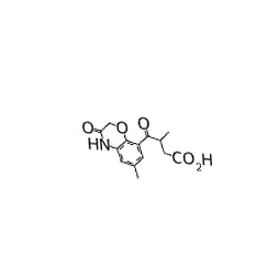 Cc1cc2c(c(C(=O)C(C)CC(=O)O)c1)OCC(=O)N2